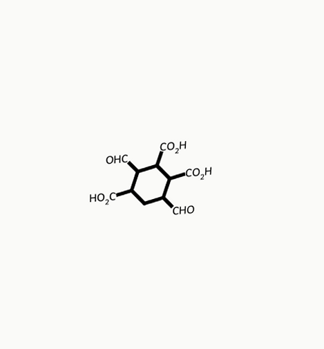 O=CC1CC(C(=O)O)C(C=O)C(C(=O)O)C1C(=O)O